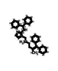 CC(CC[SiH2]Cn1ccnc1BC(c1ccccc1)c1ccccc1)=C(c1ccccc1)c1ccccc1